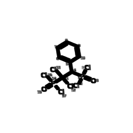 O=P(Cl)(Cl)C(c1ccccc1)C(Cl)(Cl)P(=O)(Cl)Cl